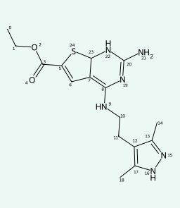 CCOC(=O)C1=CC2=C(NCCc3c(C)n[nH]c3C)N=C(N)NC2S1